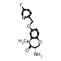 CN1C(=O)[C@@H](N)COc2ccc(OCc3ccc(F)cn3)cc21